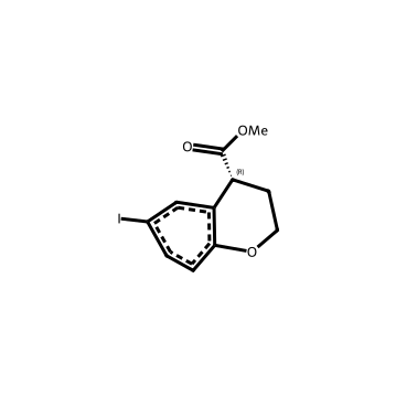 COC(=O)[C@@H]1CCOc2ccc(I)cc21